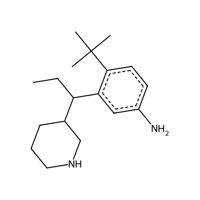 CCC(c1cc(N)ccc1C(C)(C)C)C1CCCNC1